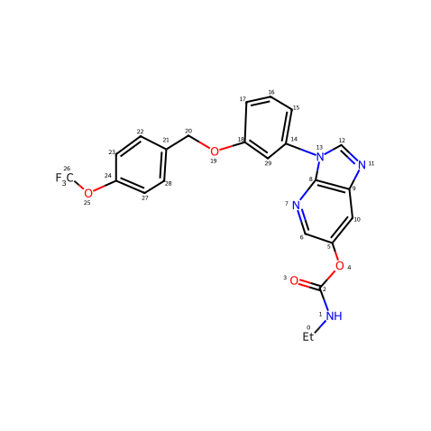 CCNC(=O)Oc1cnc2c(c1)ncn2-c1cccc(OCc2ccc(OC(F)(F)F)cc2)c1